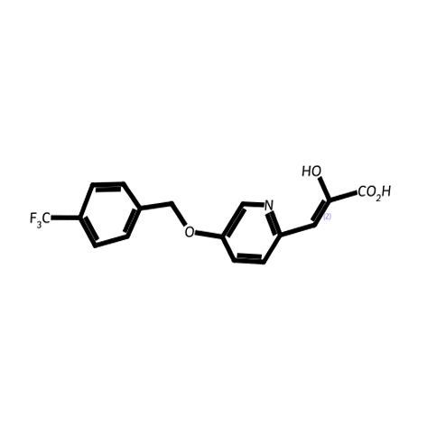 O=C(O)/C(O)=C/c1ccc(OCc2ccc(C(F)(F)F)cc2)cn1